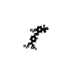 CCN(CC)c1ccc(/N=N/c2cc(S(=O)(=O)F)ccc2C)cc1